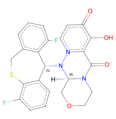 O=C1c2c(O)c(=O)ccn2N([C@@H]2c3cccc(F)c3SCc3cccc(F)c32)[C@@H]2COCCN12